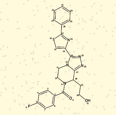 O=C(c1ccc(F)cc1)N1CCn2c(-c3csc(-c4ccccc4)n3)nnc2C1CCO